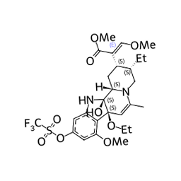 CCO[C@]12C=C(C)N3C[C@@H](CC)[C@@H](/C(=C\OC)C(=O)OC)C[C@H]3[C@@]1(O)Nc1cc(OS(=O)(=O)C(F)(F)F)cc(OC)c12